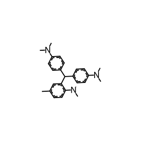 Cc1ccc(N(C)C)c(C(c2ccc(N(C)C)cc2)c2ccc(N(C)C)cc2)c1